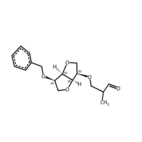 CC(C=O)CO[C@@H]1CO[C@H]2[C@@H]1OC[C@H]2OCc1ccccc1